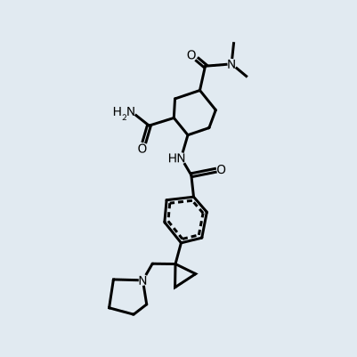 CN(C)C(=O)C1CCC(NC(=O)c2ccc(C3(CN4CCCC4)CC3)cc2)C(C(N)=O)C1